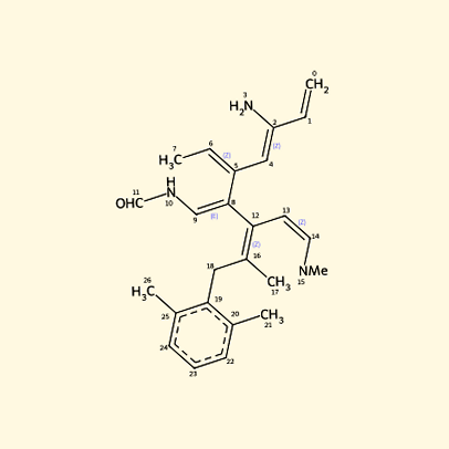 C=C/C(N)=C/C(=C/C)C(=C\NC=O)/C(/C=C\NC)=C(/C)Cc1c(C)cccc1C